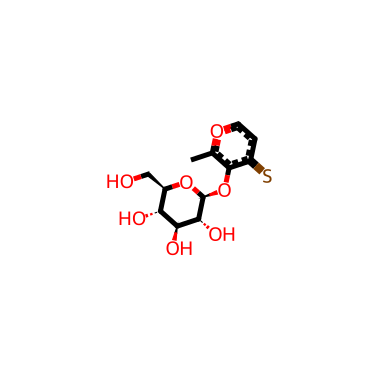 Cc1occc(=S)c1O[C@@H]1O[C@H](CO)[C@@H](O)[C@H](O)[C@H]1O